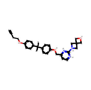 C#CCCOc1ccc(C(C)(C)c2ccc(OCc3ccnc(N4CC5(COC5)C4)n3)cc2)cc1